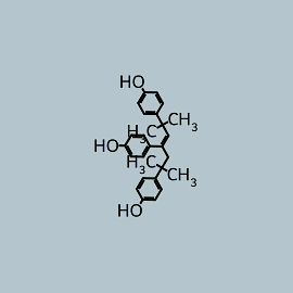 CC(C)(C=C(CC(C)(C)c1ccc(O)cc1)c1ccc(O)cc1)c1ccc(O)cc1